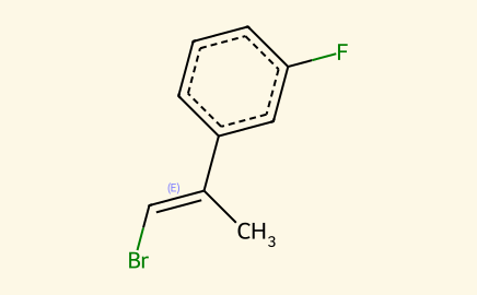 C/C(=C\Br)c1cccc(F)c1